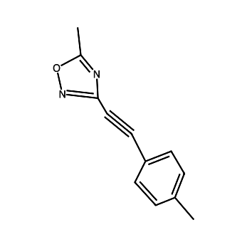 Cc1ccc(C#Cc2noc(C)n2)cc1